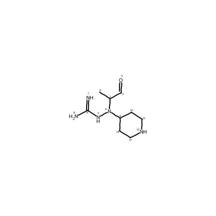 CC(C=O)N(NC(=N)N)C1CCNCC1